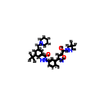 Cc1ccc(NC(=O)c2cc(CN3CCCCC3)cc(C(C)(C)C)c2)cc1-c1cc(C(=O)NCC(C)(C)C)on1